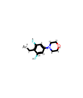 CC(=O)Cc1c(F)cc(N2CCOCC2)cc1F